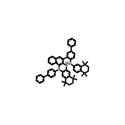 CC1(C)CCC(C)(C)c2cc(Nc3ccc(-c4ccccc4)cc3-c3cc4ccccc4c4c3Bc3cc5c(cc3N4c3ccc(-c4ccccc4)cc3)C(C)(C)CCC5(C)C)ccc21